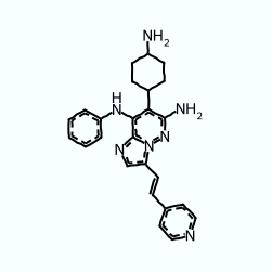 Nc1nn2c(/C=C/c3ccncc3)cnc2c(Nc2ccccc2)c1C1CCC(N)CC1